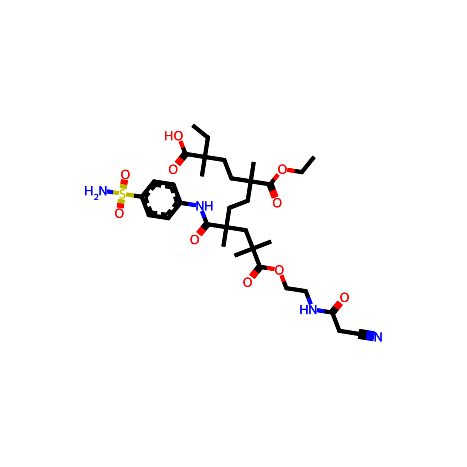 CCOC(=O)C(C)(CCC(C)(CC)C(=O)O)CCC(C)(CC(C)(C)C(=O)OCCNC(=O)CC#N)C(=O)Nc1ccc(S(N)(=O)=O)cc1